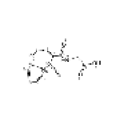 O=C(O)CNC(=O)C1=CCC=C2C=CC=CN2C1=O